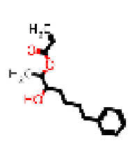 C=CC(=O)OC(C)C(O)CCCCc1ccccc1